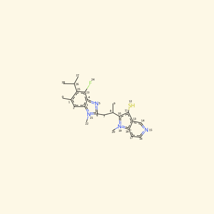 Cc1cc2c(nc(CC(C)c3c(S)c4cnccc4n3C)n2C)c(F)c1C(C)C